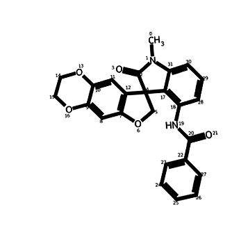 CN1C(=O)C2(COc3cc4c(cc32)OCCO4)c2c(NC(=O)c3ccccc3)cccc21